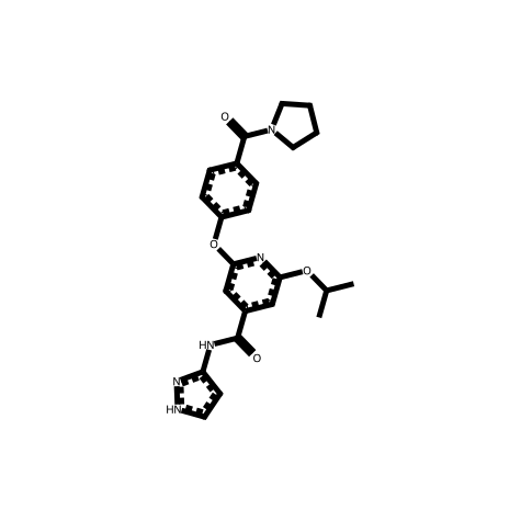 CC(C)Oc1cc(C(=O)Nc2cc[nH]n2)cc(Oc2ccc(C(=O)N3CCCC3)cc2)n1